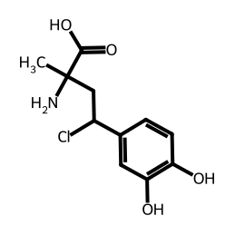 CC(N)(CC(Cl)c1ccc(O)c(O)c1)C(=O)O